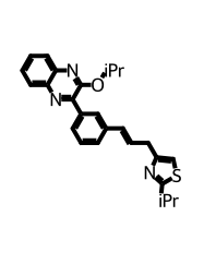 CC(C)Oc1nc2ccccc2nc1-c1cccc(/C=C/Cc2csc(C(C)C)n2)c1